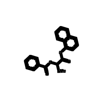 CNC(OC(=O)c1ccccc1)C(=O)Oc1cccc2ccccc12